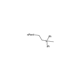 CCCCCCC[Si](C)(C(C)C)C(C)C